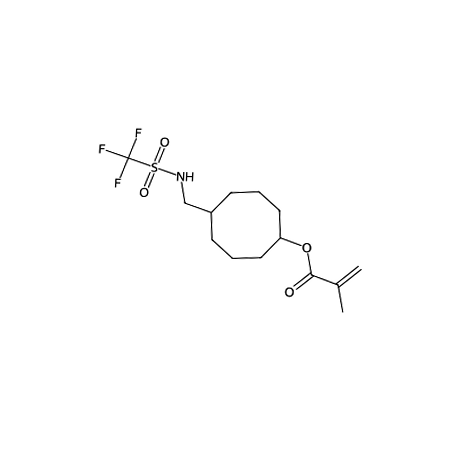 C=C(C)C(=O)OC1CCCC(CNS(=O)(=O)C(F)(F)F)CCC1